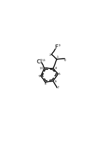 C[C](CF)c1cc(C)ccc1Cl